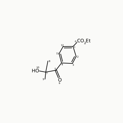 CCOC(=O)c1ccc(C(=O)C(C)(C)O)cc1